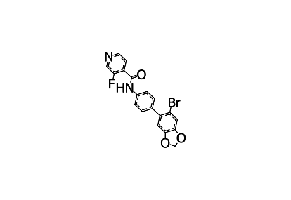 O=C(Nc1ccc(-c2cc3c(cc2Br)OCO3)cc1)c1ccncc1F